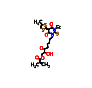 C=C(C)C(=O)OCC(O)C(=O)CCCCCN1C(=O)/C(=C2\SC=C(C)S2)C(=O)N(CC)C1=S